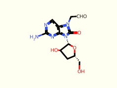 Nc1ncc2c(n1)n([C@@H]1O[C@H](CO)C[C@H]1O)c(=O)n2CC=O